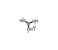 OB(O)O.[V]